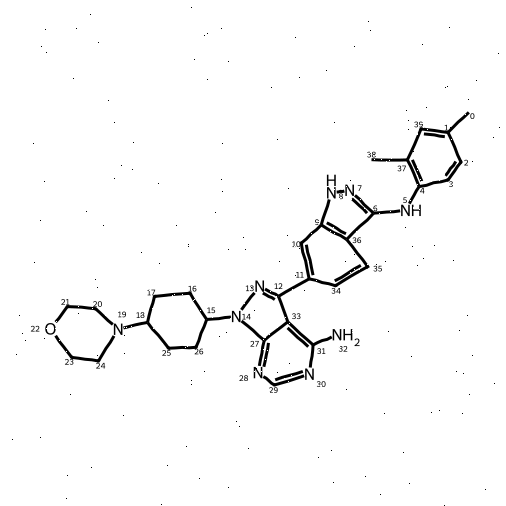 Cc1ccc(Nc2n[nH]c3cc(-c4nn(C5CCC(N6CCOCC6)CC5)c5ncnc(N)c45)ccc23)c(C)c1